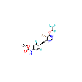 CC(C)(C)OC(=O)Nc1cc(F)c(C#Cc2ncnc(OC(F)C(F)F)c2Br)c(F)c1